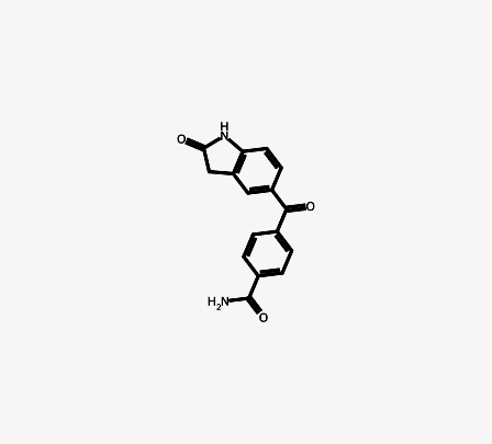 NC(=O)c1ccc(C(=O)c2ccc3c(c2)CC(=O)N3)cc1